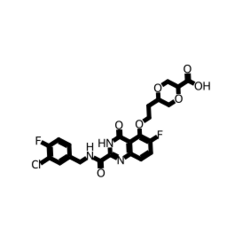 O=C(NCc1ccc(F)c(Cl)c1)c1nc2ccc(F)c(OCCC3COC(C(=O)O)CO3)c2c(=O)[nH]1